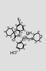 Cl.O=C1N([C@@H](c2ccccc2)[C@H](O)CN2CCOCC2)c2ccc(F)cc2C12CCCCC2